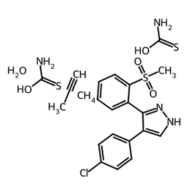 C.C#CC.CS(=O)(=O)c1ccccc1-c1n[nH]cc1-c1ccc(Cl)cc1.NC(O)=S.NC(O)=S.O